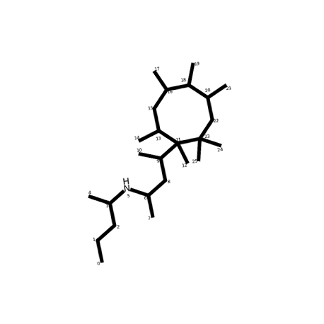 CCCC(C)NC(C)CC(C)C1(C)C(C)CC(C)C(C)C(C)CC1(C)C